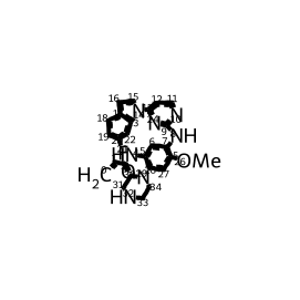 C=CC(=O)Nc1cc(Nc2nccc(-n3ccc4ccc(F)cc43)n2)c(OC)cc1N1CCNCC1